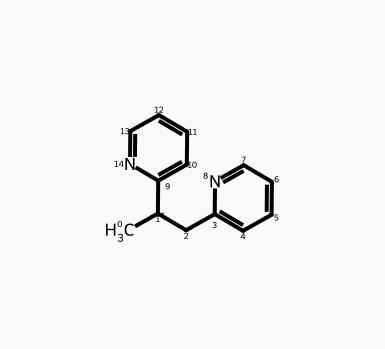 C[C](Cc1ccccn1)c1ccccn1